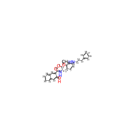 COC(=O)[C@H](Cc1ccc(NCCCc2ccccc2)cc1)NC(=O)c1cc2ccccc2cc1O